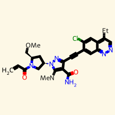 C=CC(=O)N1C[C@@H](n2nc(C#Cc3cc4nncc(CC)c4cc3Cl)c(C(N)=O)c2NC)C[C@@H]1COC